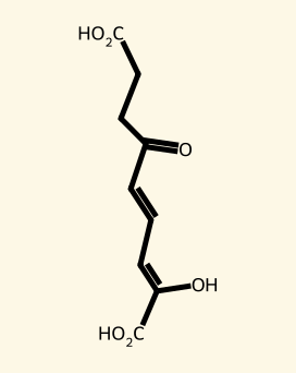 O=C(O)CCC(=O)C=CC=C(O)C(=O)O